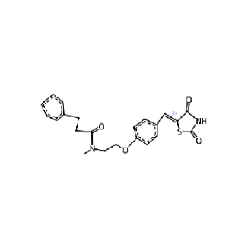 CN(CCOc1ccc(/C=C2\SC(=O)NC2=O)cc1)C(=O)CCc1ccccc1